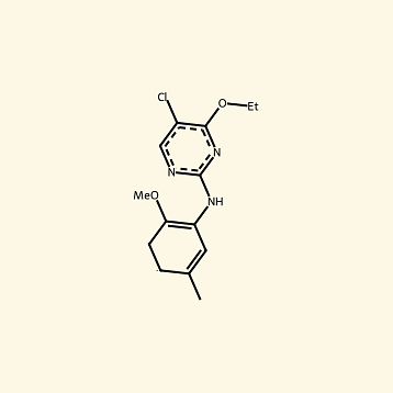 CCOc1nc(NC2=C(OC)C[CH]C(C)=C2)ncc1Cl